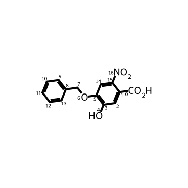 O=C(O)c1cc(O)c(OCc2ccccc2)cc1[N+](=O)[O-]